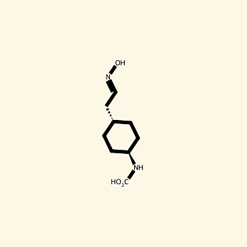 O=C(O)N[C@H]1CC[C@H](C/C=N/O)CC1